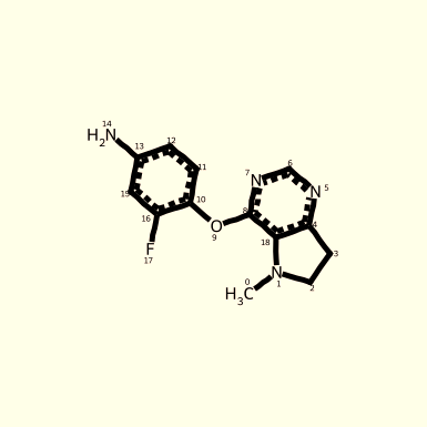 CN1CCc2ncnc(Oc3ccc(N)cc3F)c21